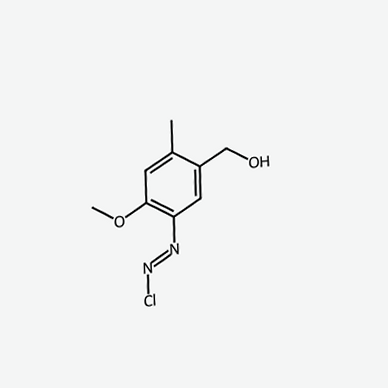 COc1cc(C)c(CO)cc1/N=N/Cl